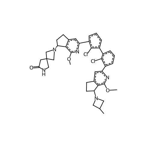 COc1nc(-c2cccc(-c3cccc(-c4cc5c(c(OC)n4)C(N4CC6(CNC(=O)C6)C4)CC5)c3Cl)c2Cl)cc2c1C(N1CC(C)C1)CC2